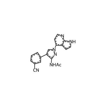 CC(=O)Nc1nn(-c2ccnc3[nH]ccc23)cc1-c1cccc(C#N)c1